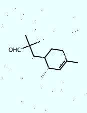 CC1=C[C@H](C)C(CC(C)(C)C=O)CC1